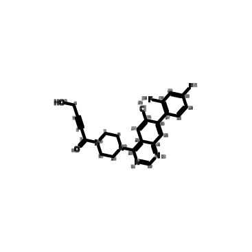 O=C(C#CCO)N1CCN(c2ncnc3cc(-c4ccc(F)cc4F)c(Cl)cc23)CC1